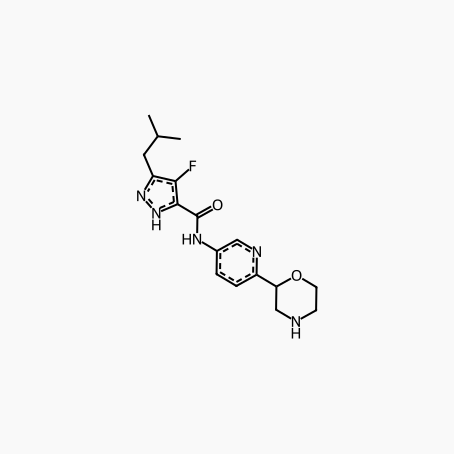 CC(C)Cc1n[nH]c(C(=O)Nc2ccc(C3CNCCO3)nc2)c1F